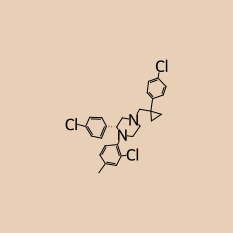 Cc1ccc(N2CCN(CC3(c4ccc(Cl)cc4)CC3)C[C@H]2c2ccc(Cl)cc2)c(Cl)c1